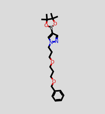 CC1(C)OB(c2cnn(CCCOCCCOCc3ccccc3)c2)OC1(C)C